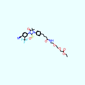 CCOC(=O)COCCOCCNC(=O)CCCc1ccc(N2C([S+]=O)N(c3ccc(C#N)c(C(F)(F)F)c3)C(=O)C2(C)C)cc1